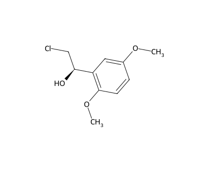 COc1ccc(OC)c([C@@H](O)CCl)c1